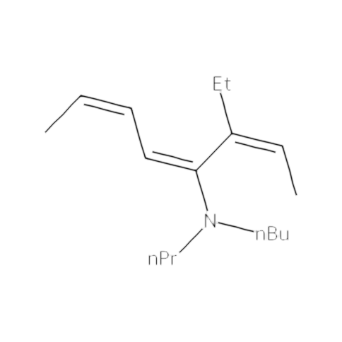 C\C=C/C=C(\C(=C/C)CC)N(CCC)CCCC